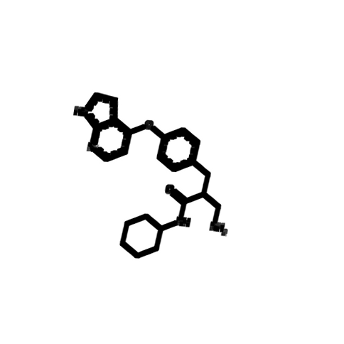 NCC(Cc1ccc(Oc2ccnc3[nH]ccc23)cc1)C(=O)NC1CCCCC1